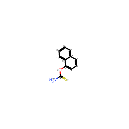 NC(=S)Oc1cccc2ccccc12